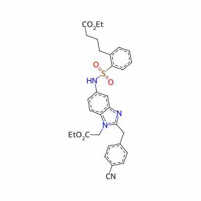 CCOC(=O)CCCc1ccccc1S(=O)(=O)Nc1ccc2c(c1)nc(Cc1ccc(C#N)cc1)n2CC(=O)OCC